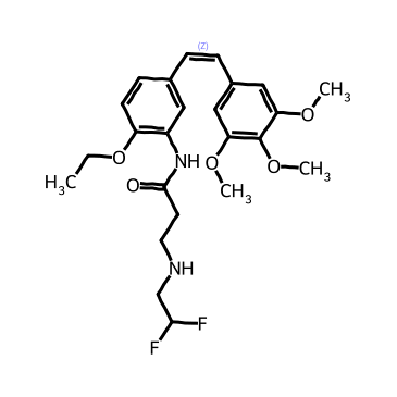 CCOc1ccc(/C=C\c2cc(OC)c(OC)c(OC)c2)cc1NC(=O)CCNCC(F)F